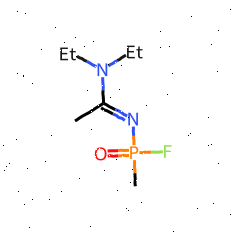 CCN(CC)C(C)=NP(C)(=O)F